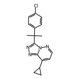 CC(C)(c1ccc(Cl)cc1)c1nnc2c(C3CC3)ccnn12